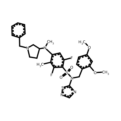 COc1ccc(CN(c2ncns2)S(=O)(=O)c2c(F)cc(N(C)C3CCN(Cc4ccccc4)C3)c(C)c2F)c(OC)c1